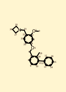 COc1cc(OCc2cccc(-c3ccccc3)c2C)ccc1CN1CCC1